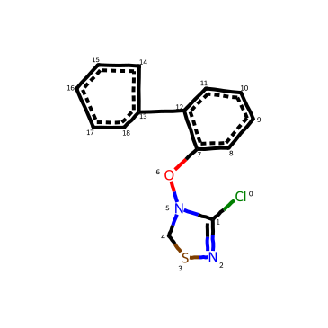 ClC1=NSCN1Oc1ccccc1-c1ccccc1